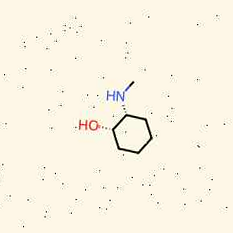 CN[C@@H]1CCCC[C@@H]1O